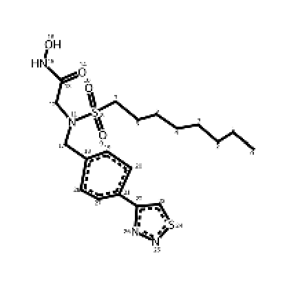 CCCCCCCCS(=O)(=O)N(CC(=O)NO)Cc1ccc(-c2csnn2)cc1